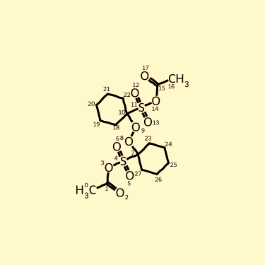 CC(=O)OS(=O)(=O)C1(OOC2(S(=O)(=O)OC(C)=O)CCCCC2)CCCCC1